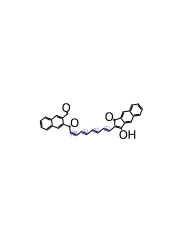 O=Cc1cc2ccccc2cc1C(=O)\C=C/C=C/C=C/C=C/C1=C(O)c2cc3ccccc3cc2C1=O